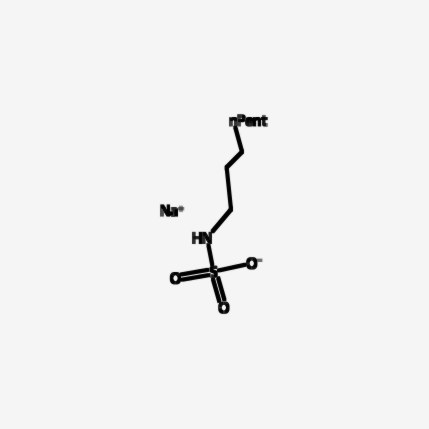 CCCCCCCCNS(=O)(=O)[O-].[Na+]